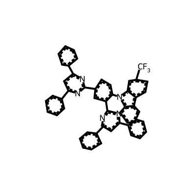 FC(F)(F)c1ccc2c3ccccc3n(-c3ccc(-c4nc(-c5ccccc5)cc(-c5ccccc5)n4)cc3-c3nc(-c4ccccc4)cc(-c4ccccc4)n3)c2c1